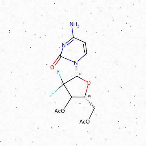 CC(=O)OC[C@H]1O[C@@H](n2ccc(N)nc2=O)C(F)(F)C1OC(C)=O